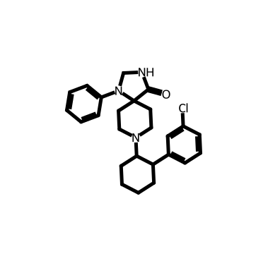 O=C1NCN(c2ccccc2)C12CCN(C1CCCCC1c1cccc(Cl)c1)CC2